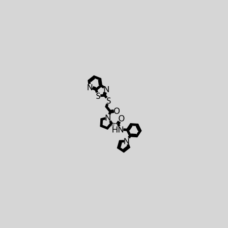 O=C(Nc1ccccc1-n1cccc1)[C@@H]1CCCN1C(=O)CSc1nc2cccnc2s1